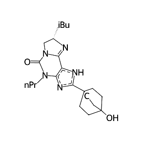 CCCN1C(=O)N2C[C@H](C(C)CC)N=C2c2[nH]c(C34CCC(O)(CC3)CC4)nc21